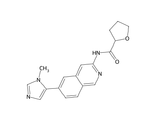 Cn1cncc1-c1ccc2cnc(NC(=O)C3CCCO3)cc2c1